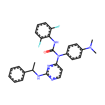 CC(Nc1nccc(N(C(=O)Nc2c(F)cccc2F)c2ccc(N(C)C)cc2)n1)c1ccccc1